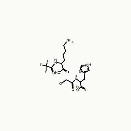 NCCCCC(NC(=O)C(F)(F)F)C(=O)O.O=C(CCl)NC(Cc1c[nH]cn1)C(=O)O